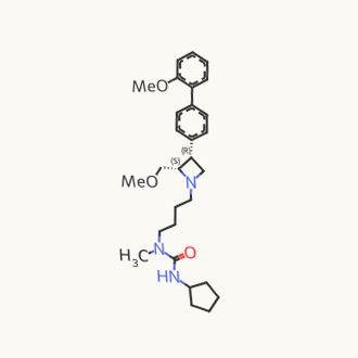 COC[C@@H]1[C@H](c2ccc(-c3ccccc3OC)cc2)CN1CCCCN(C)C(=O)NC1CCCC1